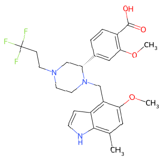 COc1cc([C@H]2CN(CCC(F)(F)F)CCN2Cc2c(OC)cc(C)c3[nH]ccc23)ccc1C(=O)O